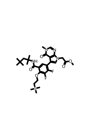 COC(=O)Cn1cc(-c2cc(C(=O)NC(C)(C)CC(C)(C)C)c(OCCS(C)(C)C)c(F)c2F)c2c(=O)n(C)cnc21